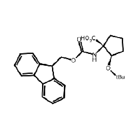 CC(C)(C)O[C@@H]1CCC[C@]1(NC(=O)OCC1c2ccccc2-c2ccccc21)C(=O)O